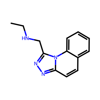 CCNCc1nnc2ccc3ccccc3n12